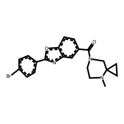 CN1CCN(C(=O)c2ccc3oc(-c4ccc(Br)cc4)nc3c2)CC12CC2